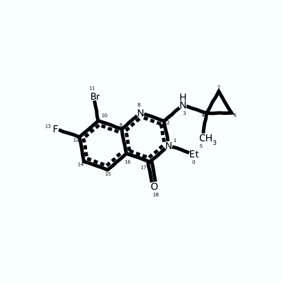 CCn1c(NC2(C)CC2)nc2c(Br)c(F)ccc2c1=O